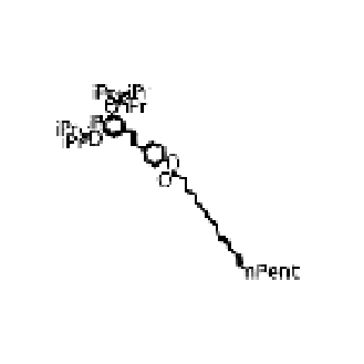 CCCCCC=CCC=CCCCCCCCC(=O)Oc1ccc(/C=C/c2cc(O[Si](C(C)C)(C(C)C)C(C)C)cc(O[Si](C(C)C)(C(C)C)C(C)C)c2)cc1